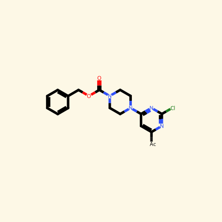 CC(=O)c1cc(N2CCN(C(=O)OCc3ccccc3)CC2)nc(Cl)n1